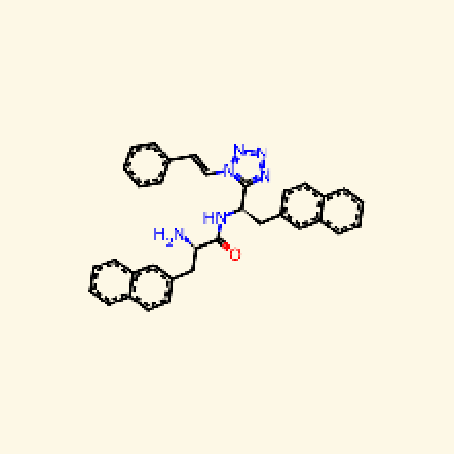 N[C@H](Cc1ccc2ccccc2c1)C(=O)N[C@H](Cc1ccc2ccccc2c1)c1nnnn1C=Cc1ccccc1